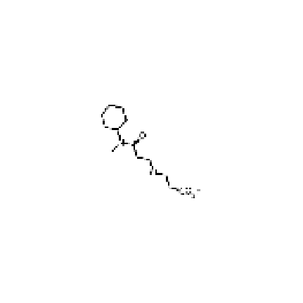 CN(C(=O)CCOCCC(=O)O)C1CCCCC1